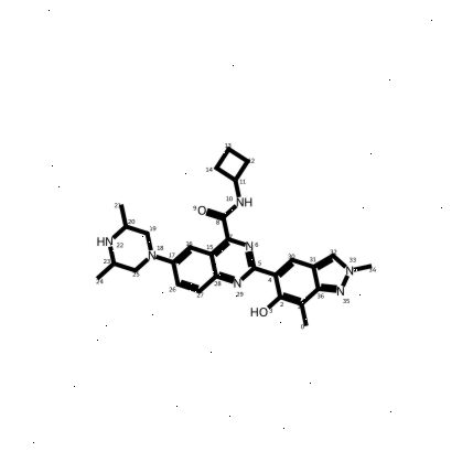 Cc1c(O)c(-c2nc(C(=O)NC3CCC3)c3cc(N4CC(C)NC(C)C4)ccc3n2)cc2cn(C)nc12